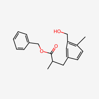 Cc1ccc(CC(C)C(=O)OCc2ccccc2)cc1CO